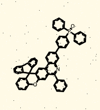 O=P(c1ccccc1)(c1ccccc1)c1ccc(-c2ccc3c(c2)nc(-c2ccccc2)c2cc4c(cc23)C2(c3ccccc3O4)c3ccccc3-c3ccccc32)cc1